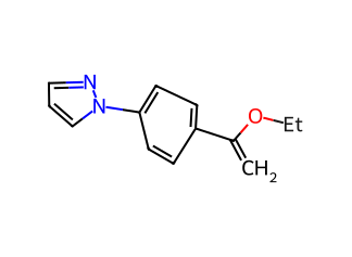 C=C(OCC)c1ccc(-n2cccn2)cc1